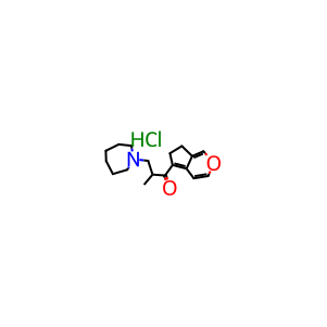 CC(CN1CCCCCC1)C(=O)C1=C2C=COC=C2CC1.Cl